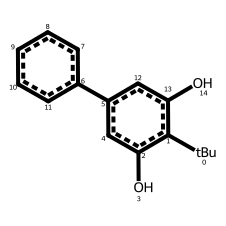 CC(C)(C)c1c(O)cc(-c2ccccc2)cc1O